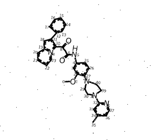 COc1cc(NC(=O)C(=O)c2c(-c3ccccc3)cc3ccccn23)ccc1N1CCN(c2cc(C)ccn2)CC1